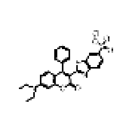 CCN(CC)c1ccc2c(-c3ccccc3)c(-c3nc4ccc(S(=O)(=O)OCl)cc4s3)c(=O)oc2c1